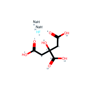 F.O=C(O)CC(O)(CC(=O)O)C(=O)O.[NaH].[NaH]